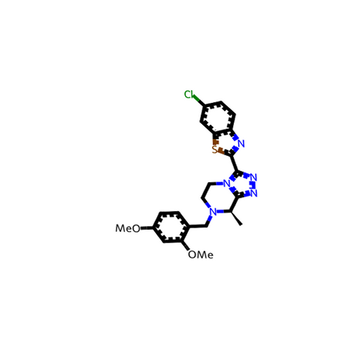 COc1ccc(CN2CCn3c(-c4nc5ccc(Cl)cc5s4)nnc3[C@H]2C)c(OC)c1